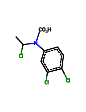 CC(Cl)N(C(=O)O)c1ccc(Cl)c(Cl)c1